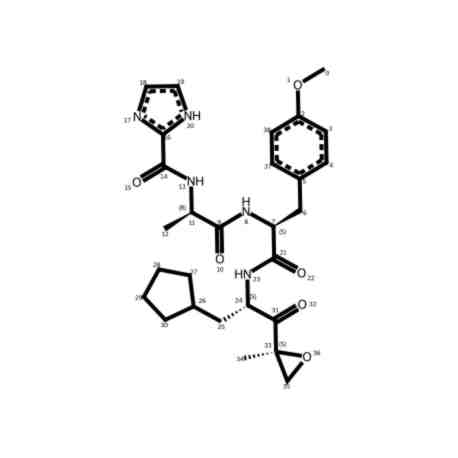 COc1ccc(C[C@H](NC(=O)[C@@H](C)NC(=O)c2ncc[nH]2)C(=O)N[C@@H](CC2CCCC2)C(=O)[C@]2(C)CO2)cc1